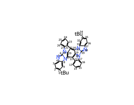 CC(C)(C)c1ccc2nc3n(c2c1)c1c2c4ccccc4n4c2c(c2c5ccccc5n3c21)n1c2cc(C(C)(C)C)ccc2nc14